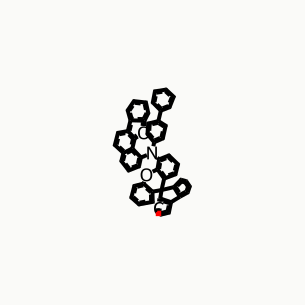 c1ccc(-c2ccc(N(c3cccc4c3Oc3ccccc3C43c4ccccc4-c4ccccc43)c3cccc4ccc5c6ccccc6oc5c34)cc2)cc1